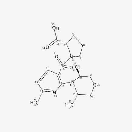 Cc1ccc(S(=O)(=O)N2CCC[C@H]2C(=O)O)c(N2[C@@H](C)COC[C@@H]2C)n1